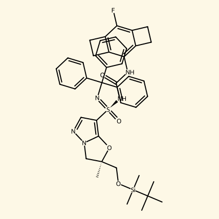 CC(C)(C)[Si](C)(C)OC[C@@]1(C)Cn2ncc([S@@](=O)(=NC(c3ccccc3)(c3ccccc3)c3ccccc3)NC(=O)Nc3c4c(c(F)c5c3CC5)CC4)c2O1